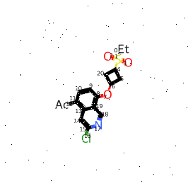 CCS(=O)(=O)[C@H]1C[C@@H](Oc2ccc(C(C)=O)c3cc(Cl)ncc23)C1